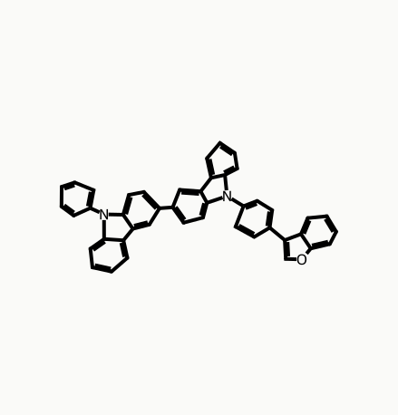 c1ccc(-n2c3ccccc3c3cc(-c4ccc5c(c4)c4ccccc4n5-c4ccc(-c5coc6ccccc56)cc4)ccc32)cc1